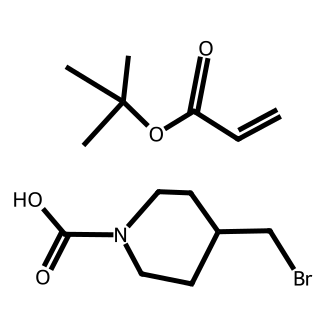 C=CC(=O)OC(C)(C)C.O=C(O)N1CCC(CBr)CC1